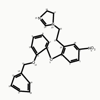 O=[N+]([O-])c1ccc(Oc2ccccc2OCc2ccccc2)c(CCN2C=NCC2)c1